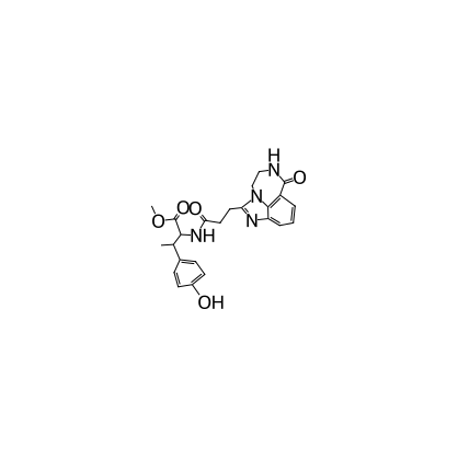 COC(=O)C(NC(=O)CCc1nc2cccc3c2n1CCNC3=O)C(C)c1ccc(O)cc1